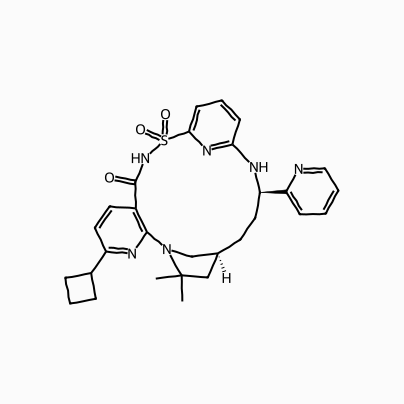 CC1(C)C[C@@H]2CC[C@H](c3ccccn3)Nc3cccc(n3)S(=O)(=O)NC(=O)c3ccc(C4CCC4)nc3N1C2